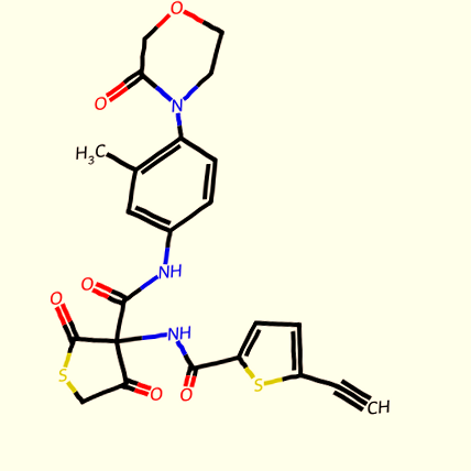 C#Cc1ccc(C(=O)NC2(C(=O)Nc3ccc(N4CCOCC4=O)c(C)c3)C(=O)CSC2=O)s1